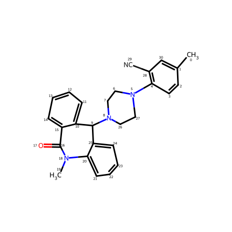 Cc1ccc(N2CCN(C3c4ccccc4C(=O)N(C)c4ccccc43)CC2)c(C#N)c1